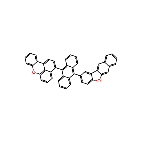 c1ccc2c(c1)Oc1cccc3c(-c4c5ccccc5c(-c5ccc6oc7cc8ccccc8cc7c6c5)c5ccccc45)ccc-2c13